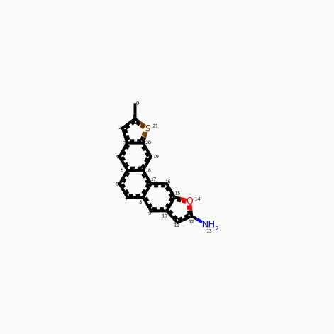 Cc1cc2cc3ccc4cc5cc(N)oc5cc4c3cc2s1